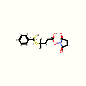 CC(C)(CCC(=O)ON1C(=O)CCC1=O)SC(=S)c1ccccc1